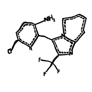 Nc1ccc(Cl)nc1-c1c(C(F)(F)F)nc2ccccn12